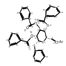 CC(=O)OC[C@@H]1O[C@H](Sc2ccccc2)[C@H](OC(=O)c2ccccc2)[C@@H](OC(=O)c2ccccc2)[C@@H]1OC(=O)c1ccccc1